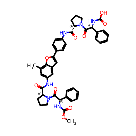 COC(=O)N[C@@H](C(=O)N1CCC[C@H]1C(=O)Nc1cc(C)c2oc(-c3ccc(NC(=O)[C@@H]4CCCN4C(=O)[C@H](NC(=O)O)c4ccccc4)cc3)cc2c1)c1ccccc1